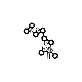 c1ccc(C2=NC(c3cccc4c3oc3ccc(-c5cccc6oc7c(-n8c9ccccc9c9ccccc98)cccc7c56)cc34)NC(c3ccccc3)N2)cc1